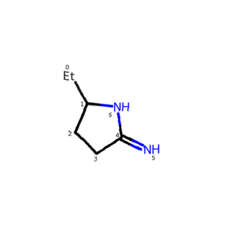 CCC1CCC(=N)N1